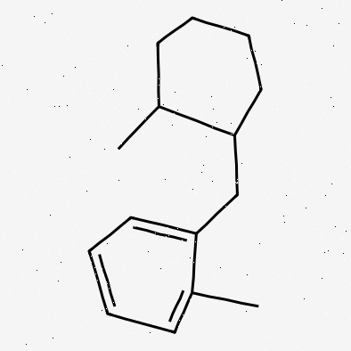 Cc1ccccc1CC1CCCCC1C